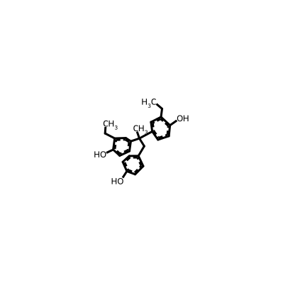 CCc1cc(C(C)(Cc2ccc(O)cc2)c2ccc(O)c(CC)c2)ccc1O